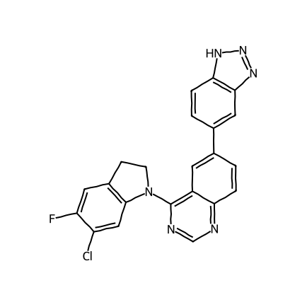 Fc1cc2c(cc1Cl)N(c1ncnc3ccc(-c4ccc5[nH]nnc5c4)cc13)CC2